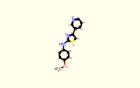 COc1ccc(Nc2nc(-c3cccnc3)cs2)cc1